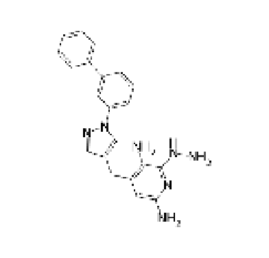 NNc1nc(N)cc(Cc2cnn(-c3cccc(-c4ccccc4)c3)c2)c1N